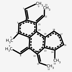 C/C=c1/cc(C)c2c(=C\C)/c(=C/C)c3c(C)cccc3c2/c1=C/C